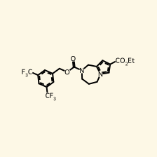 CCOC(=O)c1cc2n(c1)CCCN(C(=O)OCc1cc(C(F)(F)F)cc(C(F)(F)F)c1)C2